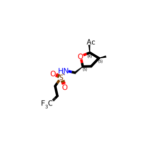 CC(=O)[C@@H]1O[C@H](CNS(=O)(=O)CCC(F)(F)F)C[C@@H]1C